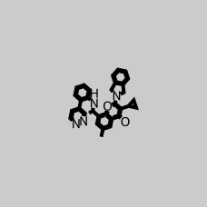 Cc1cc(C(C)Nc2ccccc2-c2ccnnc2)c2oc(N3Cc4ccccc4C3)c(C3CC3)c(=O)c2c1